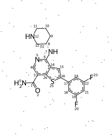 NC(=O)c1cnc(N[C@H]2CCCNC2)c2cc(-c3cc(F)cc(F)c3)sc12